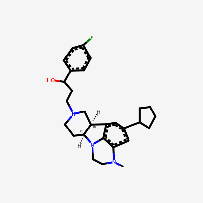 CN1CCN2c3c(cc(C4CCCC4)cc31)[C@@H]1CN(CCC(O)c3ccc(F)cc3)CC[C@@H]12